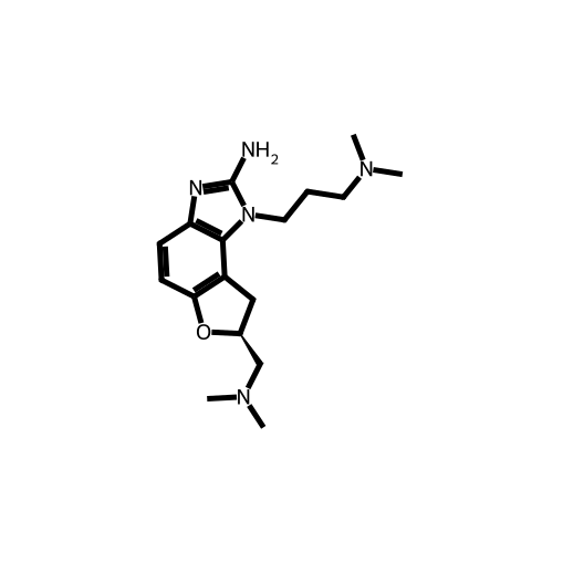 CN(C)CCCn1c(N)nc2ccc3c(c21)C[C@@H](CN(C)C)O3